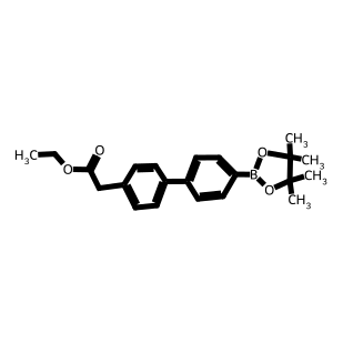 CCOC(=O)Cc1ccc(-c2ccc(B3OC(C)(C)C(C)(C)O3)cc2)cc1